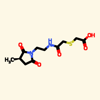 C[C@@H]1CC(=O)N(CCNC(=O)CSCC(=O)O)C1=O